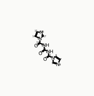 O=C(NC(=O)n1ccnc1)NC(=O)n1ccnc1